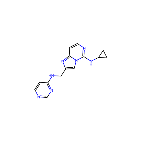 c1cc(NCc2cn3c(NC4CC4)nccc3n2)ncn1